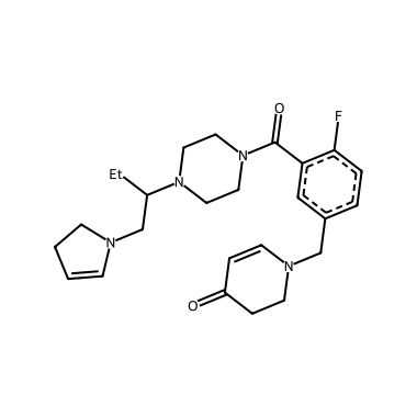 CCC(CN1C=CCC1)N1CCN(C(=O)c2cc(CN3C=CC(=O)CC3)ccc2F)CC1